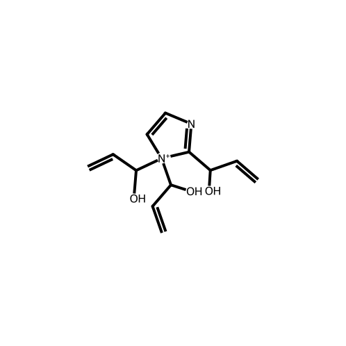 C=CC(O)C1=NC=C[N+]1(C(O)C=C)C(O)C=C